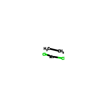 CC.[Cl][Rh][Cl]